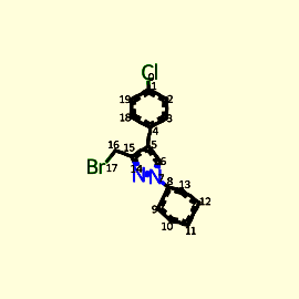 Clc1ccc(-c2cn(-c3ccccc3)nc2CBr)cc1